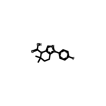 CC1(C)CCc2c(cnn2-c2ccc(F)cc2)N1C(=O)O